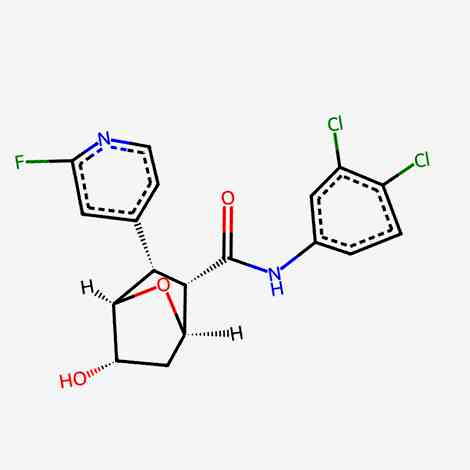 O=C(Nc1ccc(Cl)c(Cl)c1)[C@H]1[C@@H](c2ccnc(F)c2)[C@H]2O[C@@H]1C[C@@H]2O